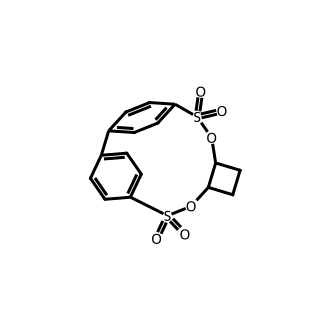 O=S1(=O)OC2CCC2OS(=O)(=O)c2ccc(cc2)-c2ccc1cc2